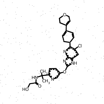 CC(C)(NC(=O)CO)c1ccc(Oc2nc3nc(C4C=CC(C5=CCOCC5)=CC4)c(Cl)cc3[nH]2)cn1